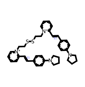 C(=C\c1cccc[n+]1CCSSCC[n+]1ccccc1/C=C/c1ccc(N2CCCC2)cc1)/c1ccc(N2CCCC2)cc1